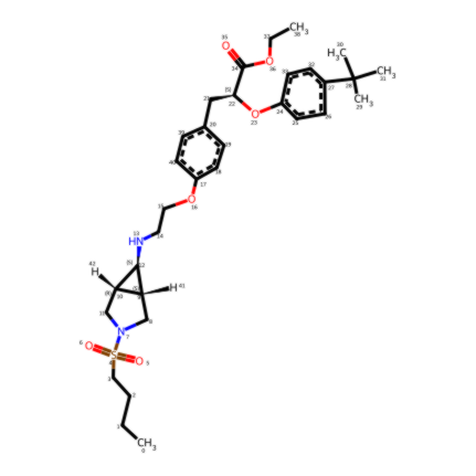 CCCCS(=O)(=O)N1C[C@@H]2[C@H](C1)[C@H]2NCCOc1ccc(C[C@H](Oc2ccc(C(C)(C)C)cc2)C(=O)OCC)cc1